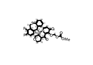 COC(=O)OCOc1c2n(ccc1=O)N([C@@H]1c3ccccc3SCc3c1ccc(F)c3F)[C@@H]1COCCC1C2=O